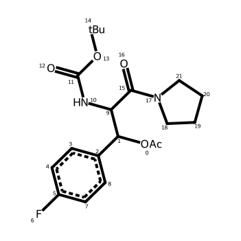 CC(=O)OC(c1ccc(F)cc1)C(NC(=O)OC(C)(C)C)C(=O)N1CCCC1